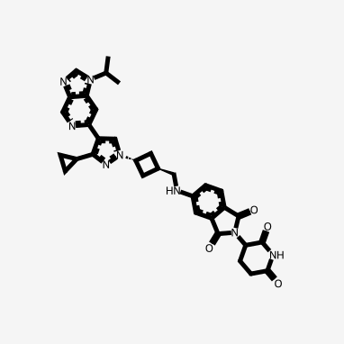 CC(C)n1cnc2cnc(-c3cn([C@H]4C[C@H](CNc5ccc6c(c5)C(=O)N(C5CCC(=O)NC5=O)C6=O)C4)nc3C3CC3)cc21